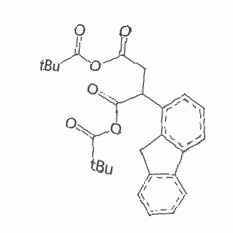 CC(C)(C)C(=O)OC(=O)CC(C(=O)OC(=O)C(C)(C)C)c1cccc2c1Cc1ccccc1-2